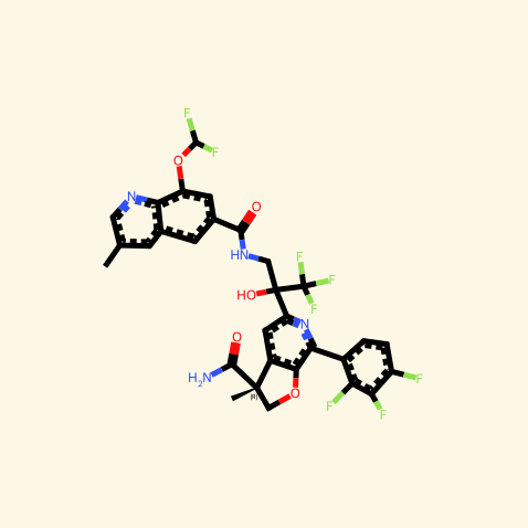 Cc1cnc2c(OC(F)F)cc(C(=O)NCC(O)(c3cc4c(c(-c5ccc(F)c(F)c5F)n3)OC[C@]4(C)C(N)=O)C(F)(F)F)cc2c1